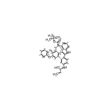 C=CC(O)Nc1ccc(-c2[nH]c3ncnc4c3c2-c2ccc(Oc3ncccn3)c(F)c2CN4C(=O)OC(C)(C)C)cc1